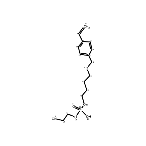 C=Cc1ccc(COCCCCOP(=O)(O)OCCN=O)cc1